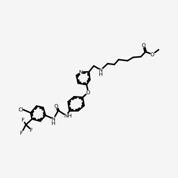 COC(=O)CCCCCCNCc1cc(Oc2ccc(NC(=O)Nc3ccc(Cl)c(C(F)(F)F)c3)cc2)ccn1